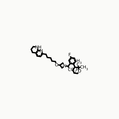 CC1(C)OCCCC1c1ccc(F)cc1C(C(=O)O)N1CC(OCCCCCc2ccc3c(n2)NCCC3)C1